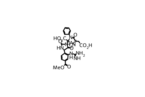 COC(=O)c1ccc(C2NC(=O)N([C@](C(C)=O)(C(=O)O)N(C(=O)[C@@H](N)CC(=O)O)c3ccccc3)C2=O)c(NC(=N)N)c1